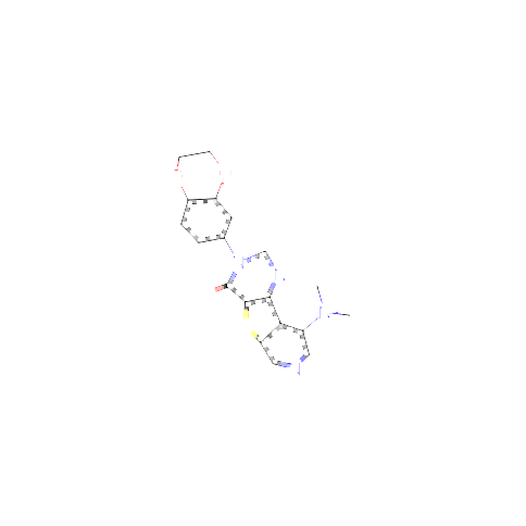 CN(C)c1cncc2sc3c(=O)n(-c4ccc5c(c4)OCCO5)cnc3c12